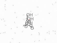 CCC(=O)S[C@@H]1CC2=CC(=O)CC[C@]2(C)[C@H]2CC[C@@]3(C)[C@@H](C=C[C@@]3(O)CCCO)[C@H]12